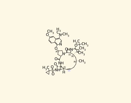 CC[C@@H]1C[C@H](C)CC/C=C\[C@@H]2C[C@@]2(C(=O)NS(=O)(=O)C2(C)CC2)NC(=O)C2C[C@@H](Oc3ncc(N(C)C)c4cc(OC)ccc34)CN2C(=O)[C@H]1NC(=O)OC(C)(C)C